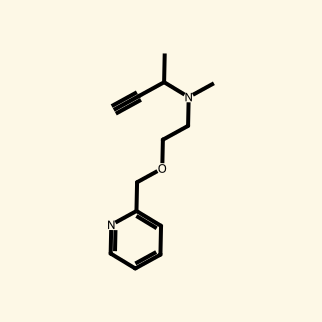 C#CC(C)N(C)CCOCc1ccccn1